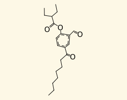 CCCCCCCC(=O)c1ccc(OC(=O)C(CC)CC)c(C=O)c1